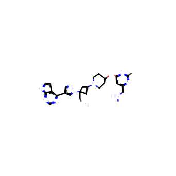 CCNCc1cc(OC2CCN(C3CC(CC#N)(n4cc(-c5ncnc6[nH]ccc56)cn4)C3)CC2)nc(C(F)(F)F)n1